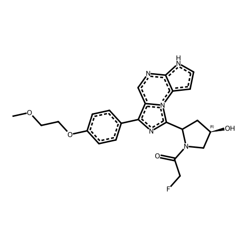 COCCOc1ccc(-c2nc(C3C[C@@H](O)CN3C(=O)CF)n3c2cnc2[nH]ccc23)cc1